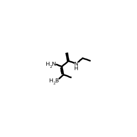 B/C(C)=C(\N)C(=C)NCC